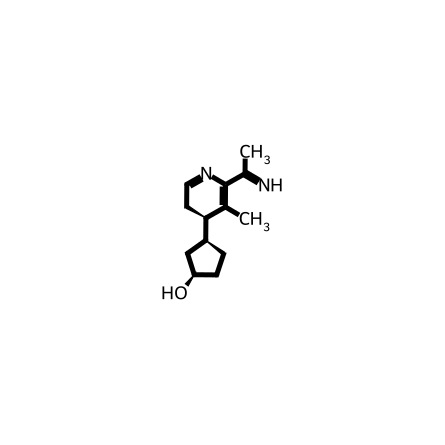 CC(=N)C1=C(C)[C@@H]([C@H]2CC[C@@H](O)C2)CC=N1